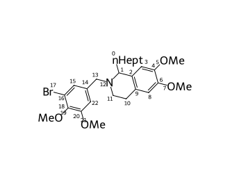 CCCCCCCC1c2cc(OC)c(OC)cc2CCN1Cc1cc(Br)c(OC)c(OC)c1